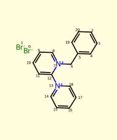 [Br-].[Br-].c1ccc(C[n+]2ccccc2-[n+]2ccccc2)cc1